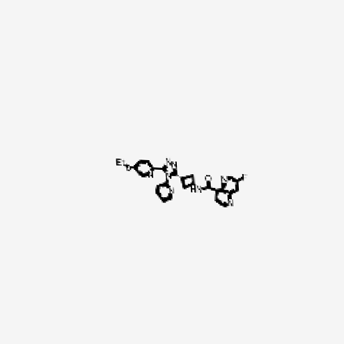 CCOc1ccc(-c2nnc([C@H]3C[C@H](NC(=O)c4ccnc5cc(F)cnc45)C3)n2-c2ccccn2)nc1